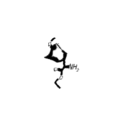 CCOC(=O)C(N)c1ccc(OC)nc1